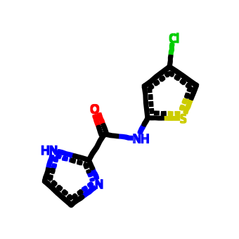 O=C(Nc1cc(Cl)cs1)c1ncc[nH]1